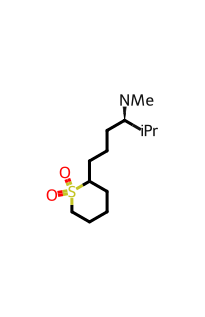 CN[C@H](CCCC1CCCCS1(=O)=O)C(C)C